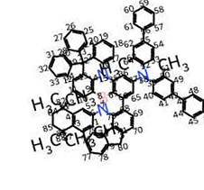 Cc1cc2c(cc1N1B3c4cccc5c4N(c4ccccc4C5(c4ccccc4)c4ccccc4)c4cc(N(c5ccc(-c6ccccc6)cc5C)c5ccc(-c6ccccc6)cc5C)cc(c43)-c3ccc4c(c31)-c1ccccc1C4)C(C)(C)CCC2(C)C